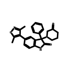 Cc1noc(C)c1-c1ccc2c(c1)C(c1ccccc1)(N1CCCC(=O)C1)C(=O)N2